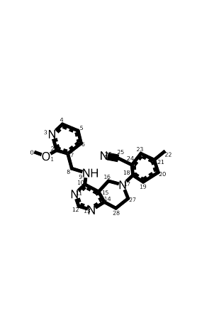 COc1ncccc1CNc1ncnc2c1CN(c1ccc(C)cc1C#N)CC2